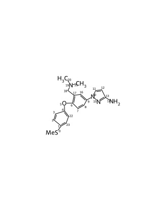 CSc1ccc(Oc2ccc(-n3ccc(N)n3)cc2CN(C)C)cc1